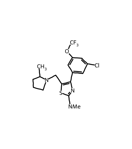 CNc1nc(-c2cc(Cl)cc(OC(F)(F)F)c2)c(CN2CCCC2C)s1